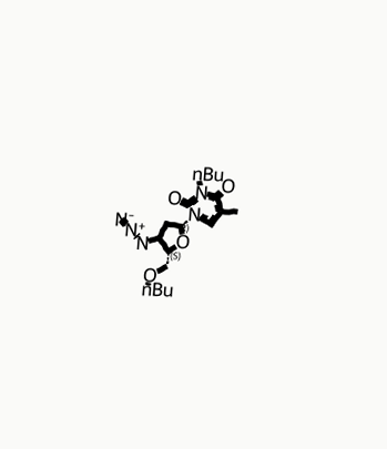 CCCCOC[C@H]1O[C@@H](n2cc(C)c(=O)n(CCCC)c2=O)CC1N=[N+]=[N-]